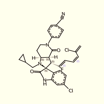 C=C(Cl)/C=C\C=C(/F)[C@H]1[C@@H]2C(=O)N(c3ccc(C#N)cc3)CC[C@@H]2N(CC2CC2)[C@@]12C(=O)Nc1cc(Cl)ccc12